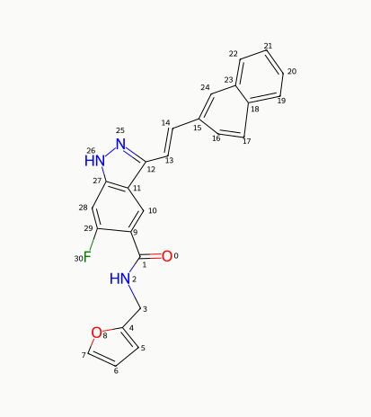 O=C(NCc1ccco1)c1cc2c(/C=C/c3ccc4ccccc4c3)n[nH]c2cc1F